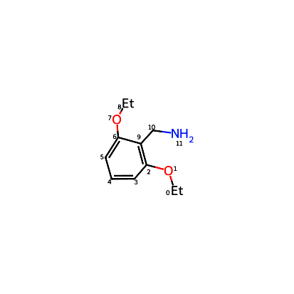 CCOc1cccc(OCC)c1CN